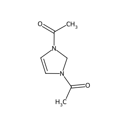 CC(=O)N1C=CN(C(C)=O)C1